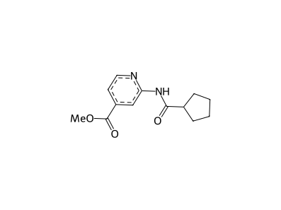 COC(=O)c1ccnc(NC(=O)C2CCCC2)c1